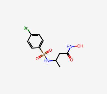 CC(CC(=O)NO)NS(=O)(=O)c1ccc(Br)cc1